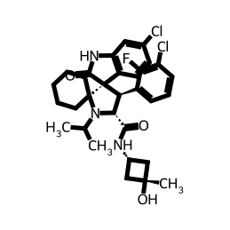 CC(C)N1[C@@H](C(=O)N[C@H]2C[C@@](C)(O)C2)[C@H](c2cccc(Cl)c2F)[C@]2(C(=O)Nc3cc(Cl)ccc32)C12CCCCC2